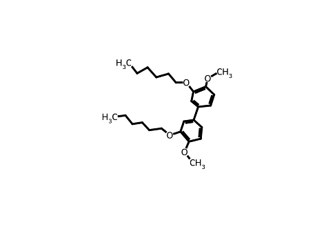 CCCCCCOc1cc(-c2ccc(OC)c(OCCCCCC)c2)ccc1OC